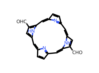 O=Cc1cc2cc3nc(cc4[nH]c(cc5nc(cc1[nH]2)C=C5)cc4C=O)C=C3